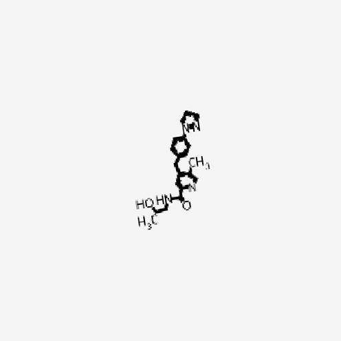 Cc1cnc(C(=O)NC[C@H](C)O)cc1Cc1ccc(-n2cccn2)cc1